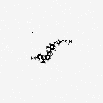 N#Cc1cccc(C2(c3ccc4oc(-c5ccc(CN6CC(C(=O)O)C6)cc5F)cc4c3)CC2)c1